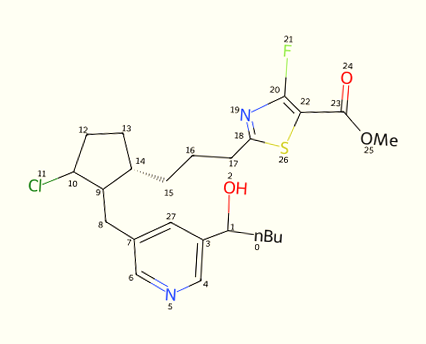 CCCCC(O)c1cncc(CC2C(Cl)CC[C@@H]2CCCc2nc(F)c(C(=O)OC)s2)c1